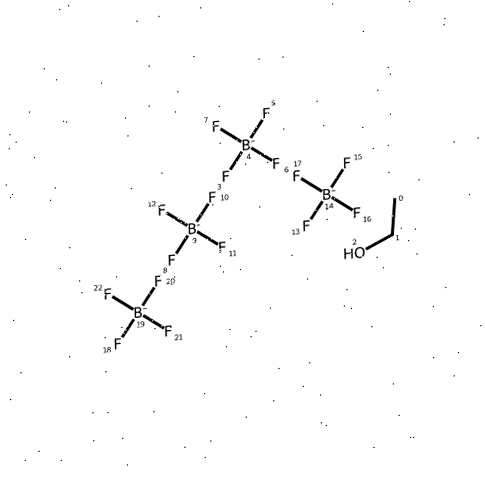 CCO.F[B-](F)(F)F.F[B-](F)(F)F.F[B-](F)(F)F.F[B-](F)(F)F